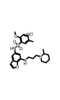 COc1ccc(C)cc1S(=O)(=O)Nc1cc(NCCCN2CCCCC2C)c2occc2c1.Cl